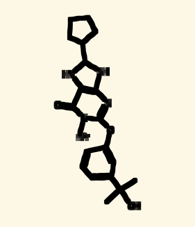 CCCn1c(Oc2cccc(C(C)(C)O)c2)nc2c(c1=O)NC(C1CCCC1)N2